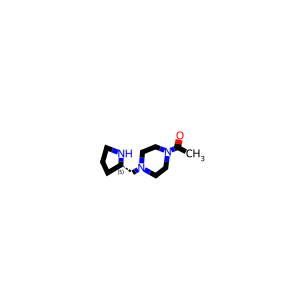 CC(=O)N1CCN(C[C@@H]2CCCN2)CC1